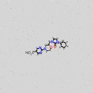 O=C(O)c1cnc(N2CCOC(Cn3ccn(-c4ccccc4)c3=O)C2)nc1